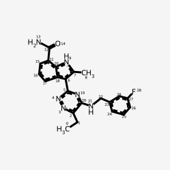 CCc1nnc(-c2c(C)[nH]c3c(C(N)=O)cccc23)nc1NCc1cccc(F)c1